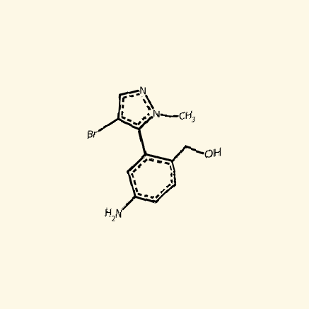 Cn1ncc(Br)c1-c1cc(N)ccc1CO